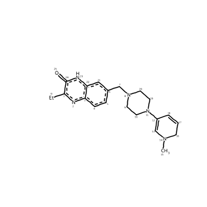 CCc1nc2ccc(CN3CCN(C4=CN(C)CC=C4)CC3)cc2[nH]c1=O